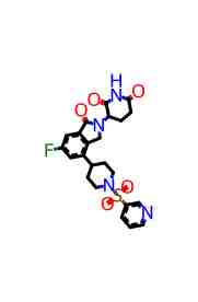 O=C1CCC(N2Cc3c(cc(F)cc3C3CCN(S(=O)(=O)c4cccnc4)CC3)C2=O)C(=O)N1